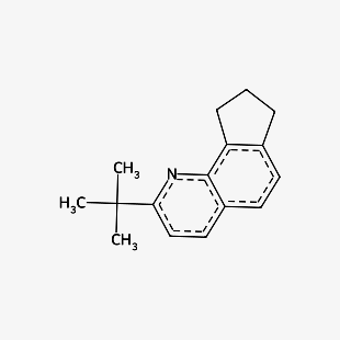 CC(C)(C)c1ccc2ccc3c(c2n1)CCC3